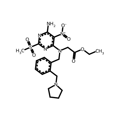 CCOC(=O)CN(Cc1ccccc1CN1CCCC1)c1nc(S(C)(=O)=O)nc(N)c1[N+](=O)[O-]